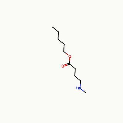 CCCCCOC(=O)CCCNC